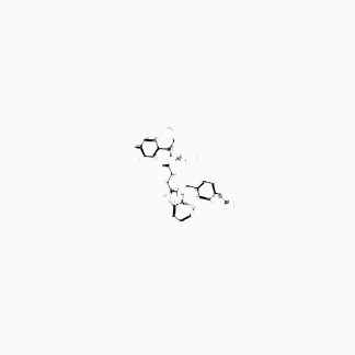 NN(C(=O)CCc1nc2cccnc2n1Cc1ccc(OC(F)(F)F)cc1)C(CO)c1ccc(C(F)(F)F)cc1